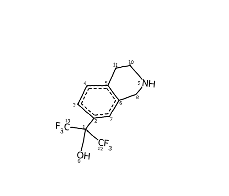 OC(c1ccc2c(c1)CNCC2)(C(F)(F)F)C(F)(F)F